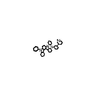 c1ccc(-n2c3ccccc3c3c4c5cccc6c5n(c4ccc32)-c2ccccc2N6c2cccc(-c3cccnc3)c2)cc1